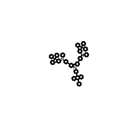 c1ccc(-c2c3ccccc3c(-c3ccc(-n4c5ccc(-c6ccc(N(c7ccccc7)c7ccc8c(c7)C(c7ccccc7)(c7ccccc7)c7ccccc7-8)cc6)cc5c5cc(-c6ccc(N(c7ccccc7)c7ccc8c(c7)C(c7ccccc7)(c7ccccc7)c7ccccc7-8)cc6)ccc54)cc3)c3ccccc23)cc1